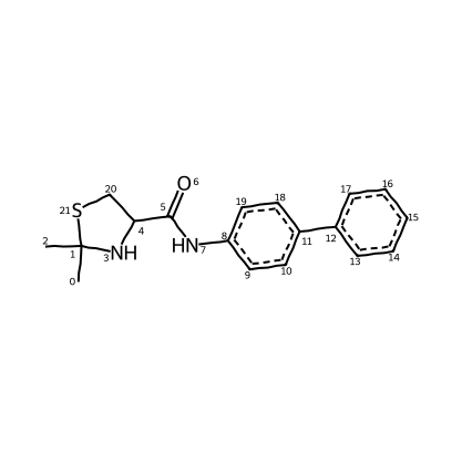 CC1(C)NC(C(=O)Nc2ccc(-c3ccccc3)cc2)CS1